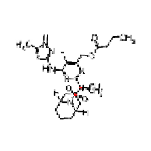 CCCC(=O)OCc1nc(N(C)[C@H]2C[C@H]3CCC[C@@H](C2)N3S(=O)(=O)CC)nc(Nc2cc(C)[nH]n2)c1F